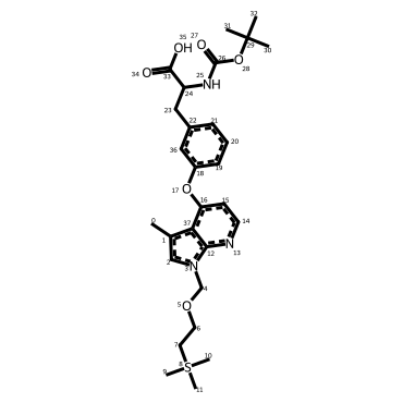 Cc1cn(COCCS(C)(C)C)c2nccc(Oc3cccc(CC(NC(=O)OC(C)(C)C)C(=O)O)c3)c12